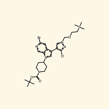 CC(C)(C)OC(=O)N1CCC(n2cc(-c3cn(COCC[Si](C)(C)C)nc3Cl)c3cc(Br)ncc32)CC1